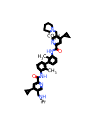 Cc1c(NC(=O)c2cc(C3CC3)c(CNC(C)C)cn2)cccc1-c1cccc(NC(=O)c2cc(C3CC3)c(CN3CCCC[C@H]3C(=O)O)cn2)c1C